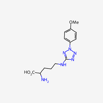 COc1ccc(-n2nnc(NCCCC(N)C(=O)O)n2)cc1